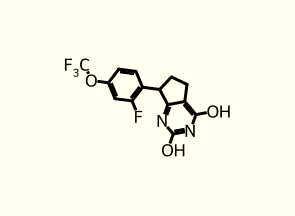 Oc1nc(O)c2c(n1)C(c1ccc(OC(F)(F)F)cc1F)CC2